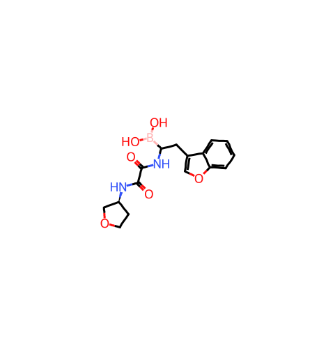 O=C(NC(Cc1coc2ccccc12)B(O)O)C(=O)N[C@H]1CCOC1